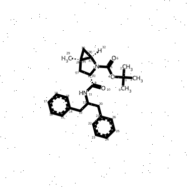 CC(C)(C)OC(=O)N1[C@H](C(=O)NC(Cc2ccccc2)Cc2ccccc2)C[C@@]2(C)C[C@@H]12